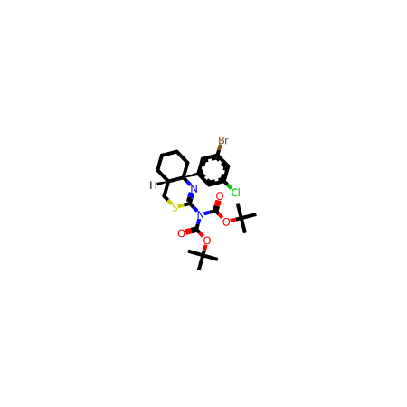 CC(C)(C)OC(=O)N(C(=O)OC(C)(C)C)C1=N[C@@]2(c3cc(Cl)cc(Br)c3)CCCC[C@H]2CS1